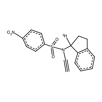 [2H]C1(N(C#C)S(=O)(=O)c2ccc([N+](=O)[O-])cc2)CCc2ccccc21